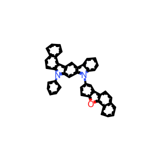 c1ccc(-n2c3cc4c(cc3c3c5ccccc5ccc32)c2ccccc2n4-c2ccc3oc4c5ccccc5ccc4c3c2)cc1